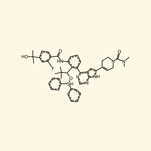 CN(C)C(=O)N1CC=C(c2cc3c(-c4cccc(NC(=O)c5ccc(C(C)(C)O)cc5F)c4C(O[SiH](c4ccccc4)c4ccccc4)C(C)(C)C)ncnc3[nH]2)CC1